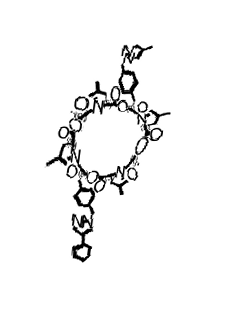 Cc1cnn(Cc2ccc(C[C@H]3OC(=O)[C@H](CC(C)C)N(C)C(=O)[C@@H](C)OC(=O)[C@H](CC(C)C)N(C)C(=O)[C@@H](Cc4ccc(Cn5cc(-c6ccccc6)cn5)cc4)OC(=O)[C@H](CC(C)C)N(C)C(=O)[C@@H](C)OC(=O)[C@H](CC(C)C)N(C)C3=O)cc2)c1